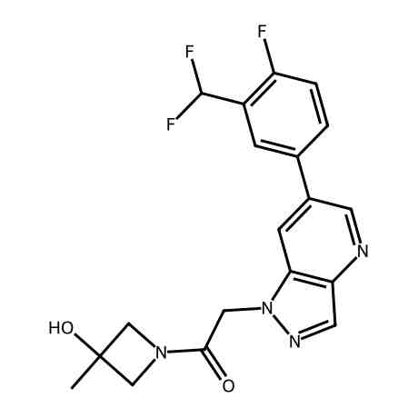 CC1(O)CN(C(=O)Cn2ncc3ncc(-c4ccc(F)c(C(F)F)c4)cc32)C1